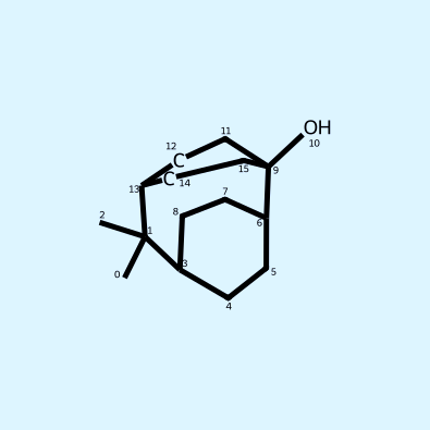 CC1(C)C2CCC(CC2)C2(O)CCC1CC2